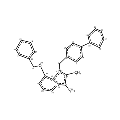 Cc1c(C)[n+](Cc2ccc(-c3ccccc3)cc2)c2c(OCc3ccccc3)cccn12